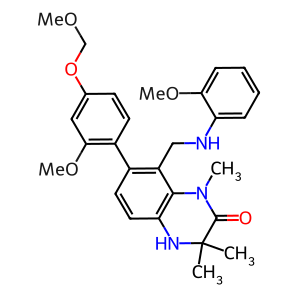 COCOc1ccc(-c2ccc3c(c2CNc2ccccc2OC)N(C)C(=O)C(C)(C)N3)c(OC)c1